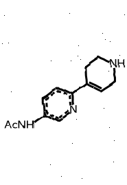 CC(=O)Nc1ccc(C2=CCNCC2)nc1